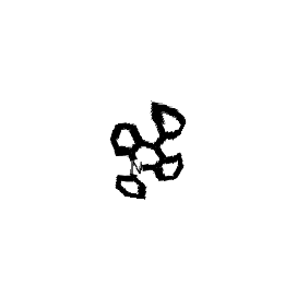 c1ccc(C2c3ccccc3N(c3ccccc3)c3ccccc32)cc1